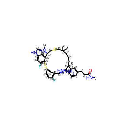 CNC(=O)CCc1cccc([C@@]2(C)CCCC(C)(C)CSCC(NC)c3c(c(F)cc4[nH]ccc34)Sc3ccc(F)c(c3)C3=N[C@]2(N)N3)c1